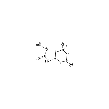 CN1CC(O)CC(NC(=O)OC(C)(C)C)C1